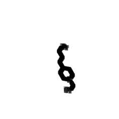 CC(C)CCCC1CCN(CC(C)C)CC1